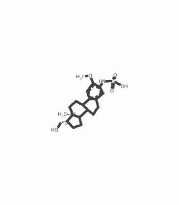 COc1cc2c(cc1NS(=O)(=O)O)CCC1C2CC[C@@]2(C)C1CC[C@@H]2CO